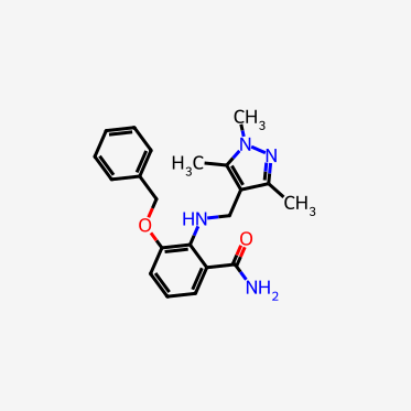 Cc1nn(C)c(C)c1CNc1c(OCc2ccccc2)cccc1C(N)=O